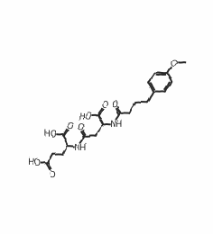 COc1ccc(CCCC(=O)N[C@@H](CC(=O)N[C@@H](CCC(=O)O)C(=O)O)C(=O)O)cc1